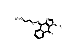 COCCO/N=C1\c2ccccc2C(=O)c2c1ncn2C